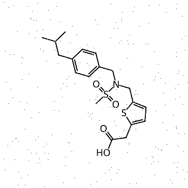 CC(C)Cc1ccc(CN(Cc2ccc(CC(=O)O)s2)S(C)(=O)=O)cc1